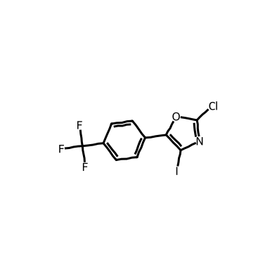 FC(F)(F)c1ccc(-c2oc(Cl)nc2I)cc1